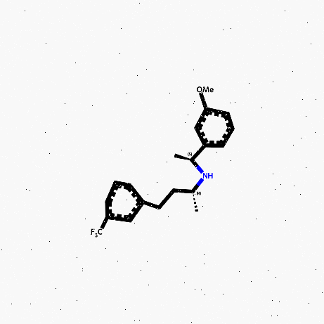 COc1cccc([C@H](C)N[C@H](C)CCc2cccc(C(F)(F)F)c2)c1